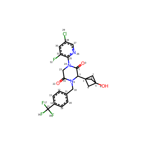 O=C1C(C23CC(O)(C2)C3)N(Cc2ccc(C(F)(F)F)cc2)C(=O)CN1c1ncc(Cl)cc1F